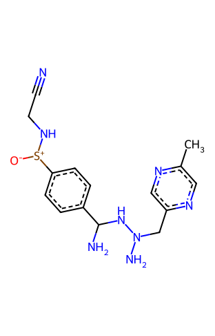 Cc1cnc(CN(N)NC(N)c2ccc([S+]([O-])NCC#N)cc2)cn1